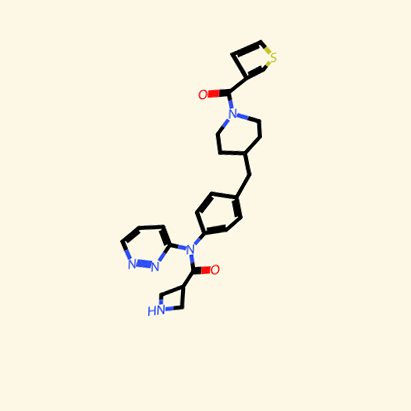 O=C(c1ccsc1)N1CCC(Cc2ccc(N(C(=O)C3CNC3)c3cccnn3)cc2)CC1